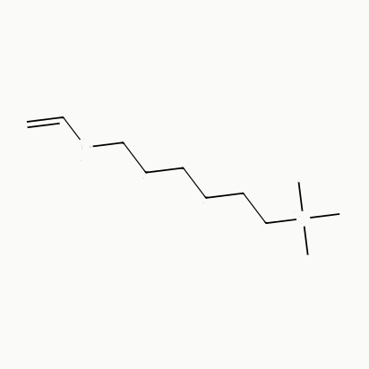 C=COCCCCCC[Si](C)(C)C